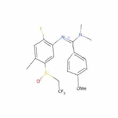 COc1ccc(/C(=N\c2cc([S+]([O-])CC(F)(F)F)c(C)cc2F)N(C)C)cc1